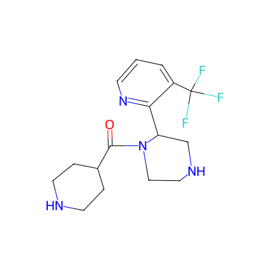 O=C(C1CCNCC1)N1CCNCC1c1ncccc1C(F)(F)F